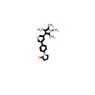 Cc1c(-c2cncc(-c3ccc(N4CCCC4=O)cc3)c2)c(C)n(C)c1C